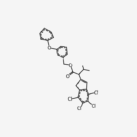 CC(C)C(C(=O)OCc1cccc(Oc2ccccc2)c1)C1=Cc2c(Cl)c(Cl)c(Cl)c(Cl)c2C1